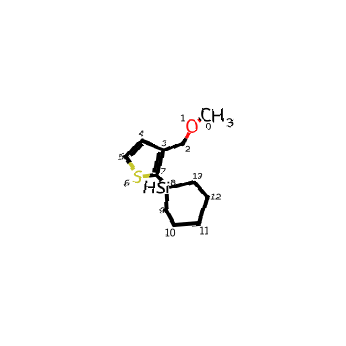 COCc1ccsc1[SiH]1CCCCC1